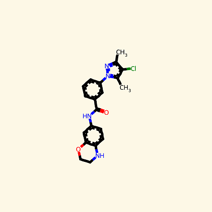 Cc1nn(-c2cccc(C(=O)Nc3ccc4c(c3)OCCN4)c2)c(C)c1Cl